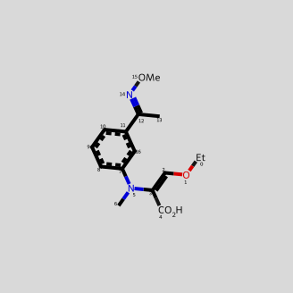 CCOC=C(C(=O)O)N(C)c1cccc(C(C)=NOC)c1